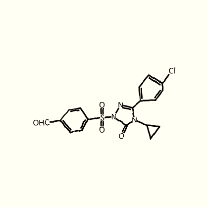 O=Cc1ccc(S(=O)(=O)n2nc(-c3ccc(Cl)cc3)n(C3CC3)c2=O)cc1